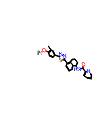 Cc1cc(-c2nnc(-c3cccc4c3CCC[C@H]4NC(=O)c3ccccn3)s2)ccc1OC(C)C